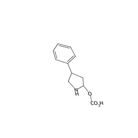 O=C(O)OC1CC(c2ccccc2)CN1